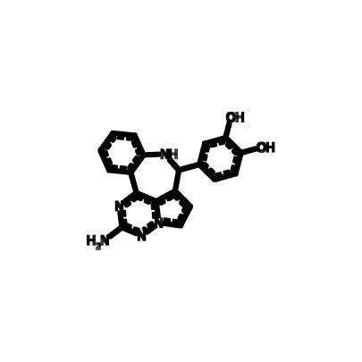 Nc1nc2c3c(ccn3n1)C(c1ccc(O)c(O)c1)Nc1ccccc1-2